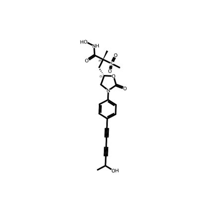 CC(O)C#CC#Cc1ccc(N2C[C@H](C[C@](C)(C(=O)NO)S(C)(=O)=O)OC2=O)cc1